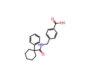 O=C(O)c1ccc(CNC(=O)C2(c3ccccc3)CCCCC2)cc1